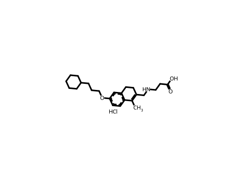 CC1=C(CNCCC(=O)O)CCc2cc(OCCCC3CCCCC3)ccc21.Cl